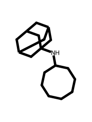 C1CCCC(NC23CC4CC(CC(C4)C2)C3)CCC1